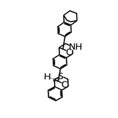 c1ccc2c(c1)C1CS[C@H]2C(c2ccc3c(c2)C2CC(c4ccc5c(c4)C4CCC5CC4)C3CN2)C1